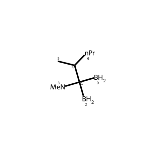 BC(B)(NC)C(C)CCC